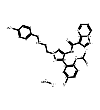 CSc1ccc(CNCCn2cc(NC(=O)c3cnn4cccnc34)c(-c3cc(Cl)ccc3OC(F)F)n2)cc1.O=CO